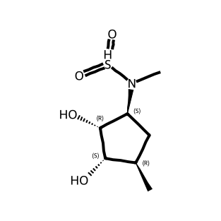 C[C@@H]1C[C@H](N(C)[SH](=O)=O)[C@@H](O)[C@H]1O